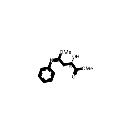 COC(=O)[C@@H](O)CC(=Nc1ccccc1)OC